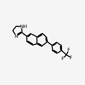 FC(F)(F)c1ccc(-c2ccc3cc(C4=NCCN4)ccc3c2)cc1